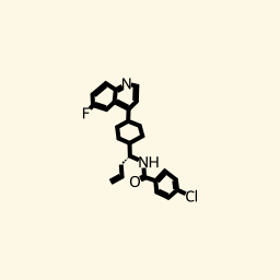 C=CC[C@@H](NC(=O)c1ccc(Cl)cc1)C1CCC(c2ccnc3ccc(F)cc23)CC1